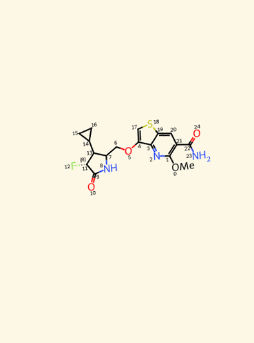 COc1nc2c(OCC3NC(=O)[C@H](F)C3C3CC3)csc2cc1C(N)=O